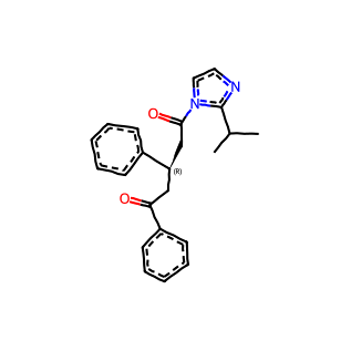 CC(C)c1nccn1C(=O)C[C@@H](CC(=O)c1ccccc1)c1ccccc1